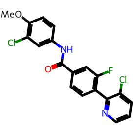 COc1ccc(NC(=O)c2ccc(-c3ncccc3Cl)c(F)c2)cc1Cl